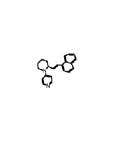 C(=CC1CCCCN1c1ccncc1)c1cccc2ccccc12